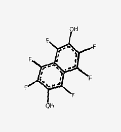 Oc1c(F)c(F)c2c(F)c(O)c(F)c(F)c2c1F